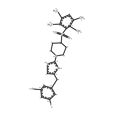 Cc1cc(C)c(C)c(S(=O)(=O)C2CCN(c3nc(Cc4cc(F)cc(F)c4)cs3)CC2)c1C